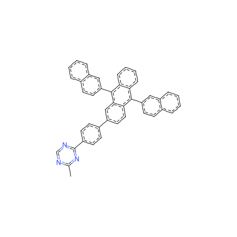 Cc1ncnc(-c2ccc(-c3ccc4c(-c5ccc6ccccc6c5)c5ccccc5c(-c5ccc6ccccc6c5)c4c3)cc2)n1